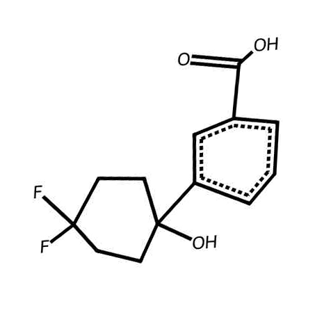 O=C(O)c1cccc(C2(O)CCC(F)(F)CC2)c1